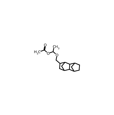 CC(=O)OC(C)OCC1CC2CC1C1C3CCC(C3)C21